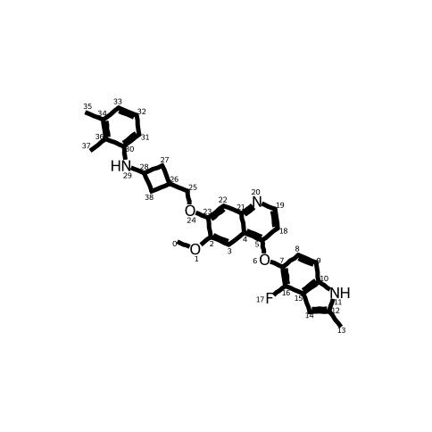 COc1cc2c(Oc3ccc4[nH]c(C)cc4c3F)ccnc2cc1OCC1CC(Nc2cccc(C)c2C)C1